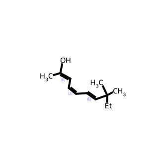 CCC(C)(C)/C=C/C=C\C=C(/C)O